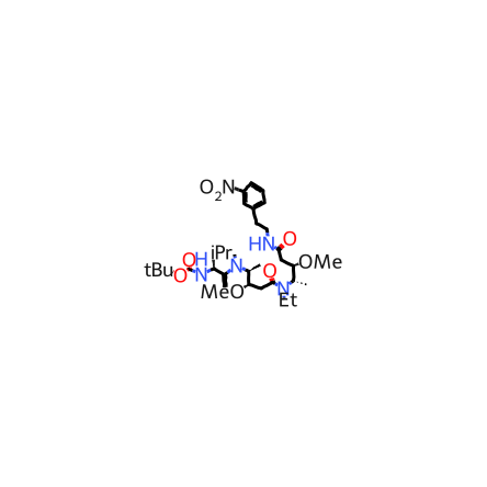 C=C([C@@H](NC(=O)OC(C)(C)C)C(C)C)N(C)[C@@H](C)[C@@H](CC(=O)N(CC)[C@@H](C)[C@@H](CC(=O)NCCc1cccc([N+](=O)[O-])c1)OC)OC